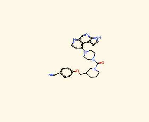 N#Cc1ccc(OCC2CCCN(C(=O)N3CCN(c4ccnc5cnc6[nH]ccc6c45)CC3)C2)cc1